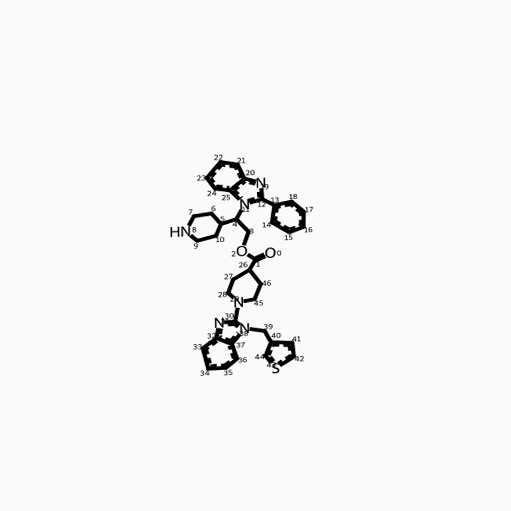 O=C(OCC(C1CCNCC1)n1c(-c2ccccc2)nc2ccccc21)C1CCN(c2nc3ccccc3n2Cc2ccsc2)CC1